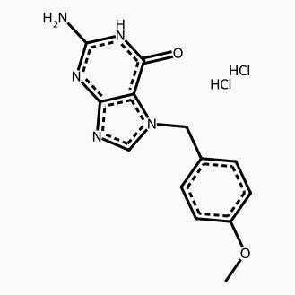 COc1ccc(Cn2cnc3nc(N)[nH]c(=O)c32)cc1.Cl.Cl